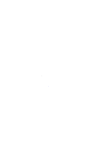 CC(O)CN1c2ccccc2C(C)CC1(C)C